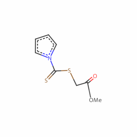 COC(=O)CSC(=S)n1cccc1